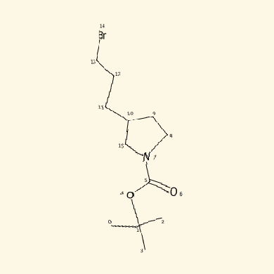 CC(C)(C)OC(=O)N1CCC(CCCBr)C1